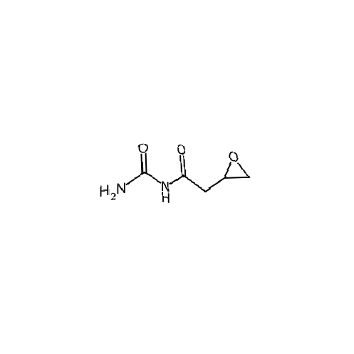 NC(=O)NC(=O)CC1CO1